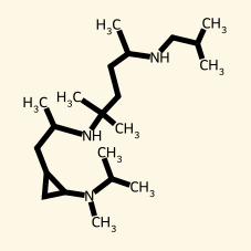 CC(C)CNC(C)CCC(C)(C)NC(C)CC1CC1N(C)C(C)C